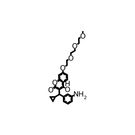 COCCOCCOCCOc1ccc2c(O)c(C(c3cccc(N)c3)C3CC3)c(=O)oc2c1